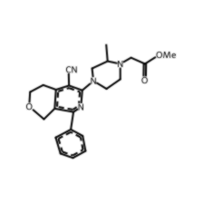 COC(=O)CN1CCN(c2nc(-c3ccccc3)c3c(c2C#N)CCOC3)CC1C